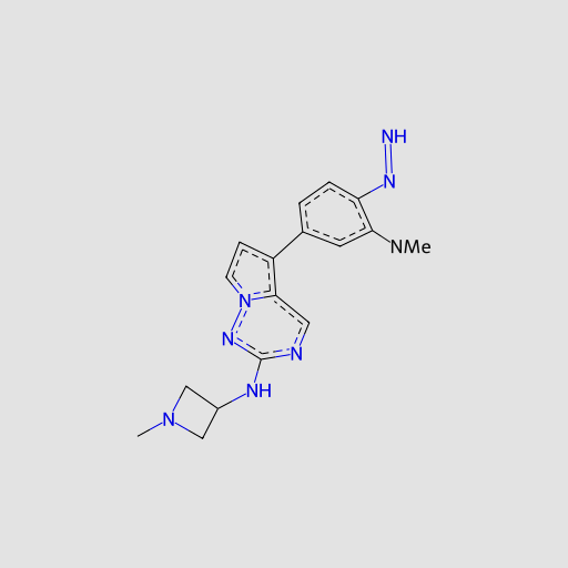 CNc1cc(-c2ccn3nc(NC4CN(C)C4)ncc23)ccc1N=N